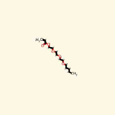 C=CC(=O)OCCOCCOCCOCCCCC